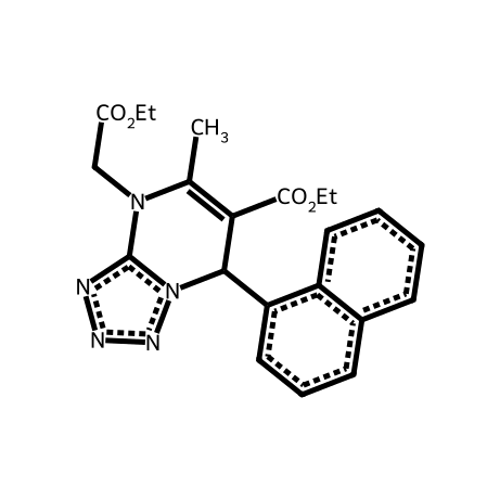 CCOC(=O)CN1C(C)=C(C(=O)OCC)C(c2cccc3ccccc23)n2nnnc21